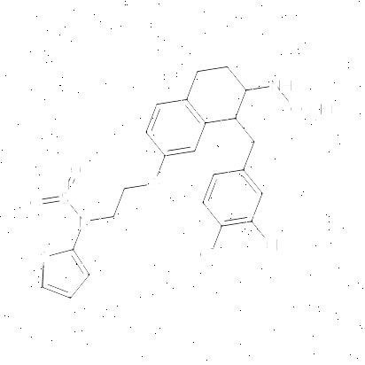 CCOC(=O)NC1CCc2ccc(OCCN(c3cccs3)[SH](=O)=O)cc2C1Cc1ccc(Cl)c(Cl)c1